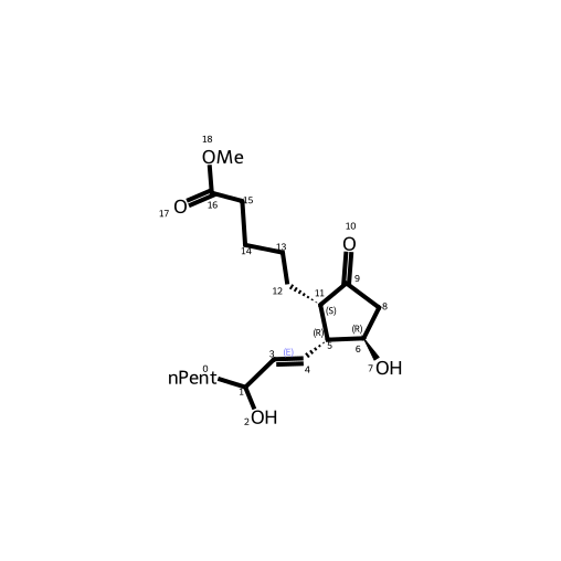 CCCCCC(O)/C=C/[C@H]1[C@H](O)CC(=O)[C@H]1CCCCC(=O)OC